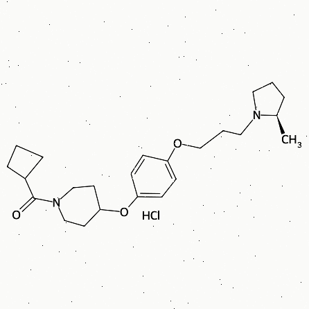 C[C@@H]1CCCN1CCCOc1ccc(OC2CCN(C(=O)C3CCC3)CC2)cc1.Cl